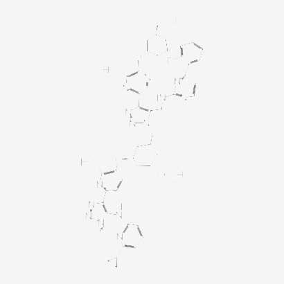 Cc1nc(-c2nnn(C)c2Nc2cccc(C3CC3)n2)ccc1O[C@H]1CC(Cn2nnc(-c3cnc(O[C@H]4CCC[C@H](C(=O)O)C4)c(C)n3)c2CNc2nccc(-c3ccccc3F)n2)C[C@H](C(=O)O)C1